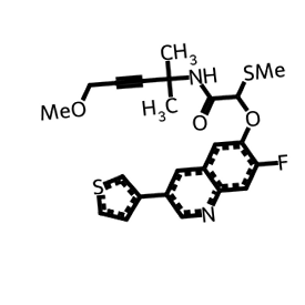 COCC#CC(C)(C)NC(=O)C(Oc1cc2cc(-c3ccsc3)cnc2cc1F)SC